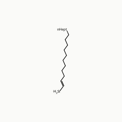 CCCCCCCCCCCCCCCCC=C[SiH2]